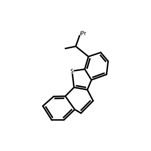 CC(C)C(C)c1cccc2c1sc1c3ccccc3ccc21